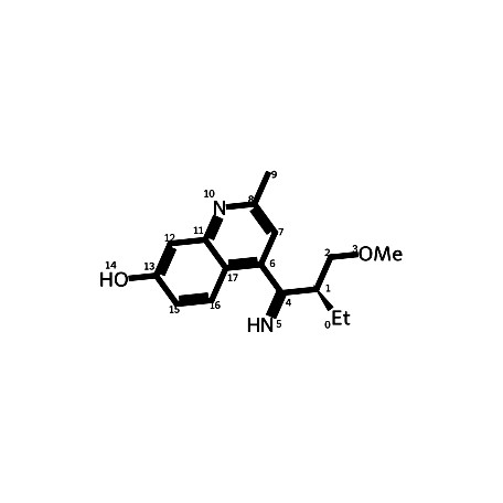 CC[C@H](COC)C(=N)c1cc(C)nc2cc(O)ccc12